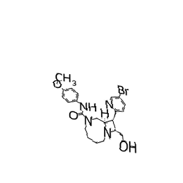 COc1ccc(NC(=O)N2CCCCN3[C@H](CO)[C@H](c4ccc(Br)cn4)[C@@H]3C2)cc1